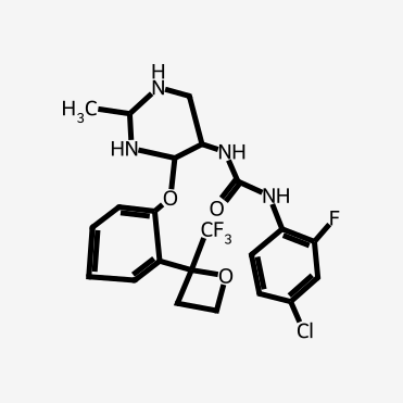 CC1NCC(NC(=O)Nc2ccc(Cl)cc2F)C(Oc2ccccc2C2(C(F)(F)F)CCO2)N1